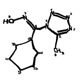 Cc1nnnn1/C(=N/O)C1CCCCC1